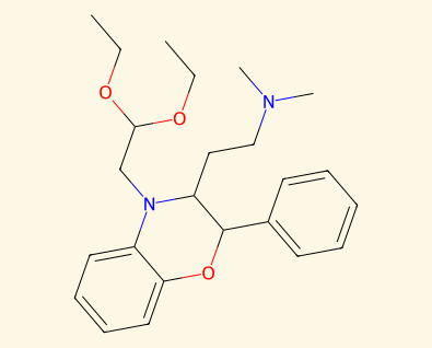 CCOC(CN1c2ccccc2OC(c2ccccc2)C1CCN(C)C)OCC